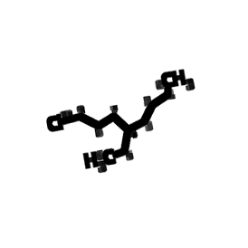 CCCCC(CC)CCCCl